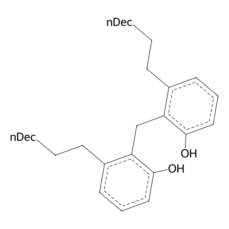 CCCCCCCCCCCCc1cccc(O)c1Cc1c(O)cccc1CCCCCCCCCCCC